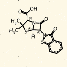 CC1(C)S[C@@H]2[C@H](n3sc4ccccc4c3=O)C(=O)N2[C@H]1C(=O)O